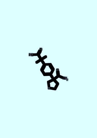 CC(C)(C(=O)O)c1ccc(C2(C(N)=O)CCOC2)cc1